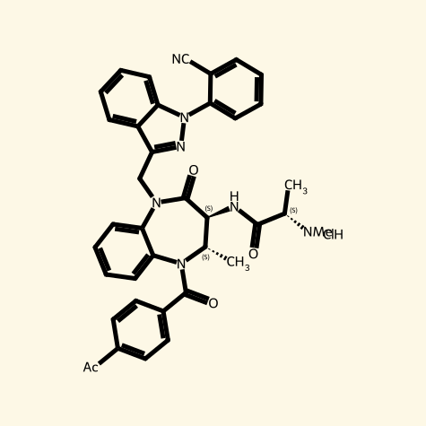 CN[C@@H](C)C(=O)N[C@@H]1C(=O)N(Cc2nn(-c3ccccc3C#N)c3ccccc23)c2ccccc2N(C(=O)c2ccc(C(C)=O)cc2)[C@H]1C.Cl